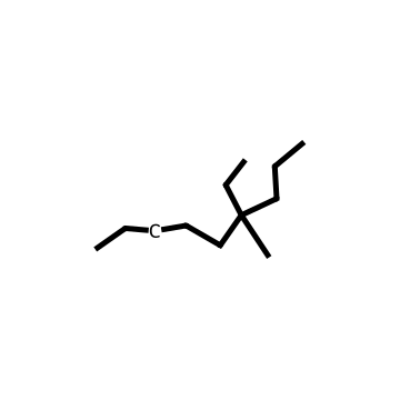 CCCCCC(C)(CC)CCC